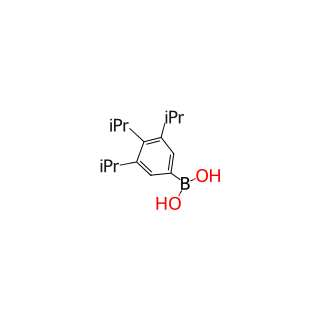 CC(C)c1cc(B(O)O)cc(C(C)C)c1C(C)C